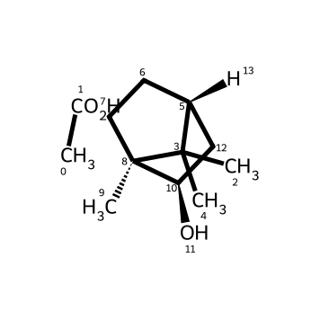 CC(=O)O.CC1(C)[C@@H]2CC[C@]1(C)[C@H](O)C2